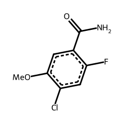 COc1cc(C(N)=O)c(F)cc1Cl